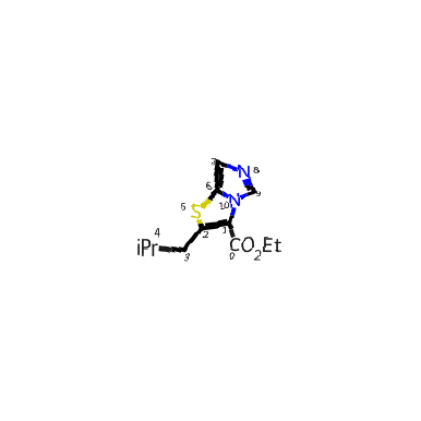 CCOC(=O)c1c(CC(C)C)sc2cncn12